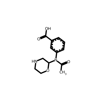 CC(=O)N(c1cccc(C(=O)O)c1)C1CNCCO1